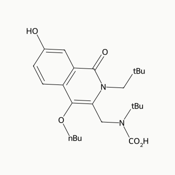 CCCCOc1c(CN(C(=O)O)C(C)(C)C)n(CC(C)(C)C)c(=O)c2cc(O)ccc12